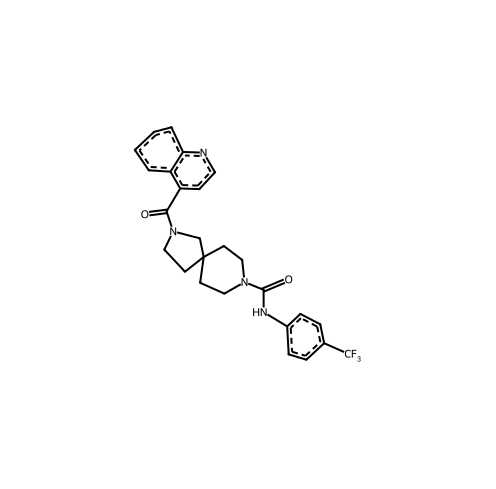 O=C(Nc1ccc(C(F)(F)F)cc1)N1CCC2(CC1)CCN(C(=O)c1ccnc3ccccc13)C2